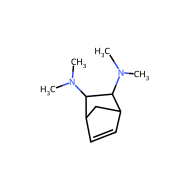 CN(C)C1C2C=CC(C2)C1N(C)C